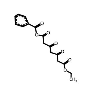 CCOC(=O)CC(=O)CC(=O)CC(=O)OC(=O)c1ccccc1